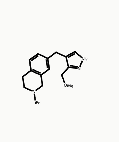 COCc1n[nH]cc1Cc1ccc2c(c1)CN(C(C)C)CC2